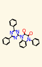 O=c1c(=O)n(-c2nc(-c3ccccc3)nc(-c3ccccc3)n2)c2ccccc2n1-c1ccccc1